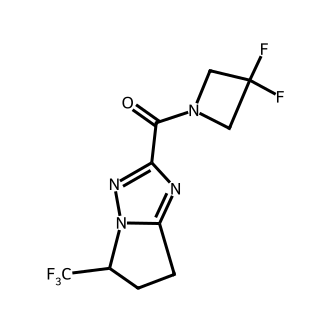 O=C(c1nc2n(n1)C(C(F)(F)F)CC2)N1CC(F)(F)C1